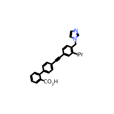 CC(C)c1cc(C#Cc2ccc(-c3ccccc3C(=O)O)cc2)ccc1Cn1ccnc1